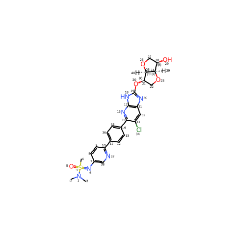 CN(C)S(C)(=O)=Nc1ccc(-c2ccc(-c3nc4[nH]c(O[C@@H]5CO[C@H]6[C@@H]5OC[C@H]6O)nc4cc3Cl)cc2)nc1